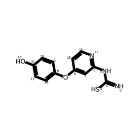 N=C(S)Nc1cc(Oc2ccc(O)cc2)ccn1